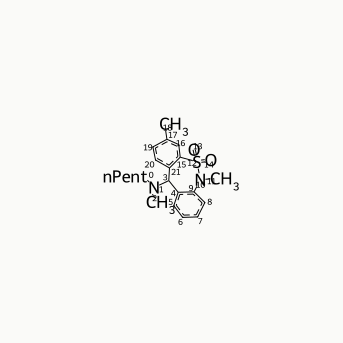 CCCCCN(C)C1c2ccccc2N(C)S(=O)(=O)c2cc(C)ccc21